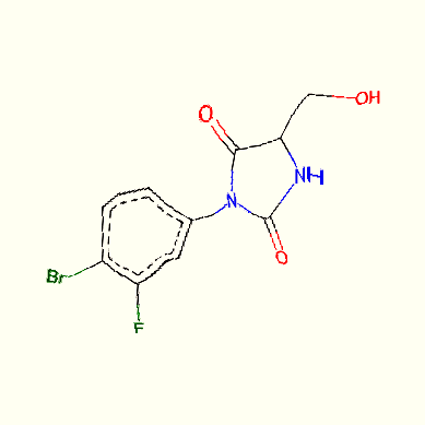 O=C1NC(CO)C(=O)N1c1ccc(Br)c(F)c1